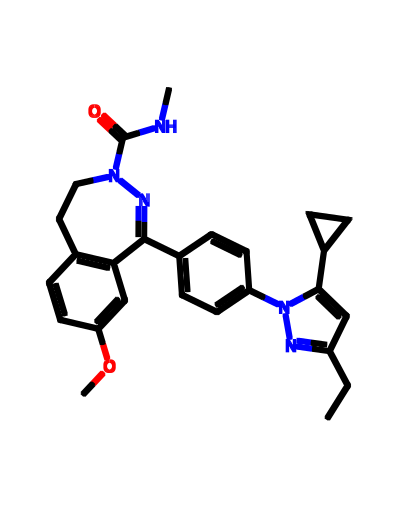 CCc1cc(C2CC2)n(-c2ccc(C3=NN(C(=O)NC)CCc4ccc(OC)cc43)cc2)n1